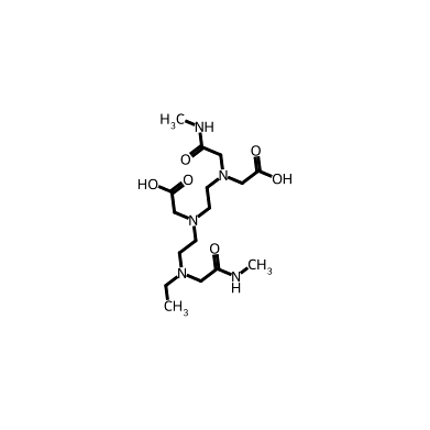 CCN(CCN(CCN(CC(=O)O)CC(=O)NC)CC(=O)O)CC(=O)NC